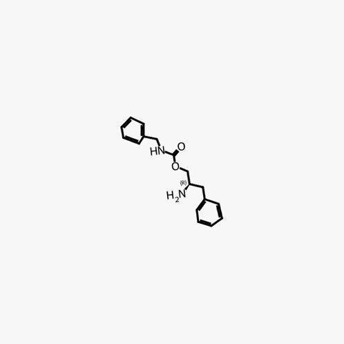 N[C@@H](COC(=O)NCc1ccccc1)Cc1ccccc1